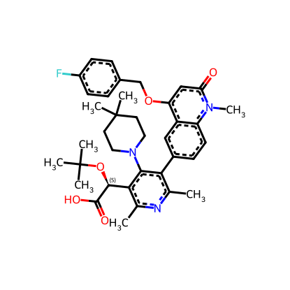 Cc1nc(C)c([C@H](OC(C)(C)C)C(=O)O)c(N2CCC(C)(C)CC2)c1-c1ccc2c(c1)c(OCc1ccc(F)cc1)cc(=O)n2C